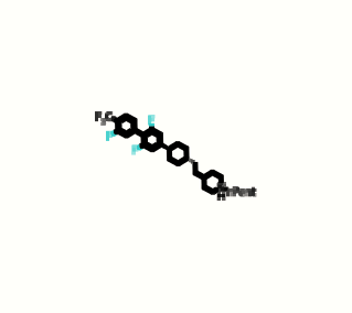 CCCCC[SiH]1CCC(CC[C@H]2CC[C@H](c3cc(F)c(-c4ccc(C(F)(F)F)c(F)c4)c(F)c3)CC2)CC1